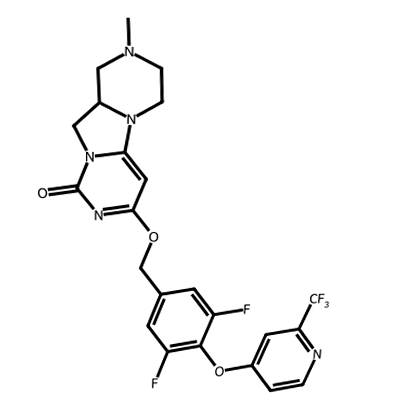 CN1CCN2c3cc(OCc4cc(F)c(Oc5ccnc(C(F)(F)F)c5)c(F)c4)nc(=O)n3CC2C1